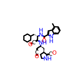 Cc1cccc2[nH]c(C(=O)N[C@@H](CC3CCCCC3)C(=C=O)N[C@H](C=C=O)C[C@@H]3CCNC3=C=O)cc12